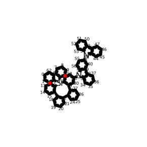 c1ccc([Si]2(c3ccccc3)c3ccccc3-c3ccccc3-c3ccccc3-c3cc(-n4c5ccccc5c5cc(-n6c7ccccc7c7ccccc76)ccc54)ccc32)cc1